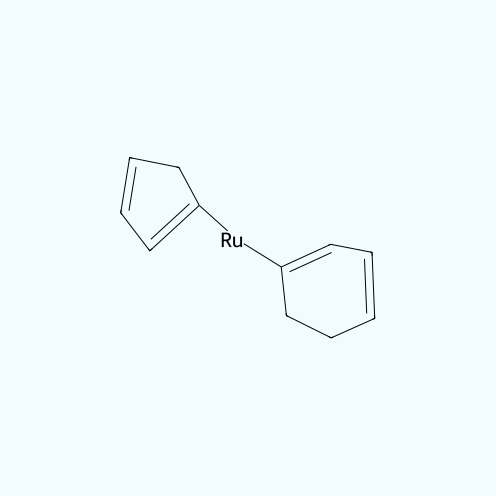 C1=CCC[C]([Ru][C]2=CC=CC2)=C1